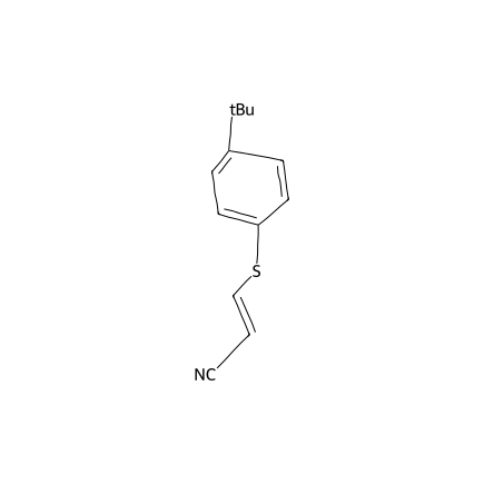 CC(C)(C)c1ccc(SC=CC#N)cc1